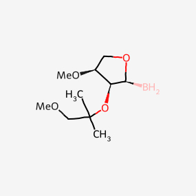 B[C@@H]1OC[C@H](OC)[C@@H]1OC(C)(C)COC